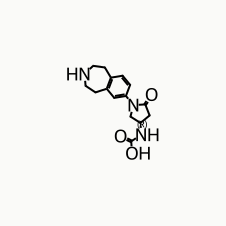 O=C(O)N[C@@H]1CC(=O)N(c2ccc3c(c2)CCNCC3)C1